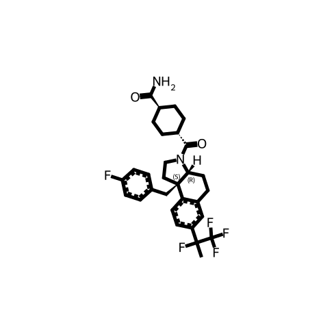 CC(F)(c1ccc2c(c1)CC[C@H]1N(C(=O)[C@H]3CC[C@H](C(N)=O)CC3)CC[C@@]21Cc1ccc(F)cc1)C(F)(F)F